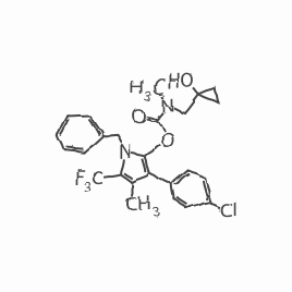 Cc1c(-c2ccc(Cl)cc2)c(OC(=O)N(C)CC2(O)CC2)n(Cc2ccccc2)c1C(F)(F)F